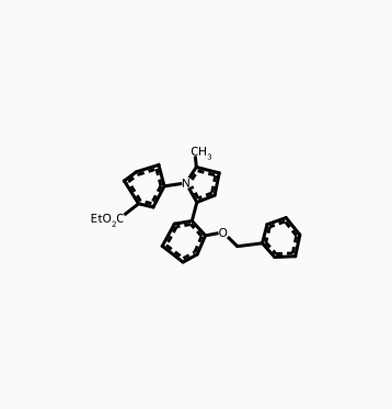 CCOC(=O)c1cccc(-n2c(C)ccc2-c2ccccc2OCc2ccccc2)c1